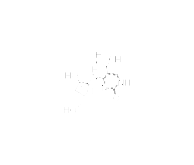 CC(C)c1c[nH]c(=O)nc1N[C@@H]1O[C@H](CO)C[C@H]1O